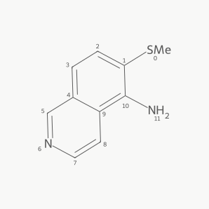 CSc1ccc2cnccc2c1N